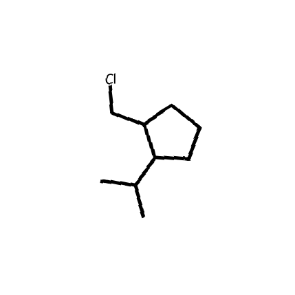 CC(C)C1CCCC1CCl